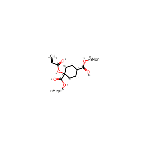 C=CC(=O)OC1(C(=O)OCCCCCCC)CCC(C(=O)OCCCCCCCCC)CC1